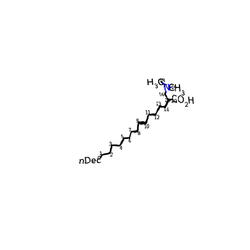 CCCCCCCCCCCCCCCCCCC=CCCCCC(CN(C)C)C(=O)O